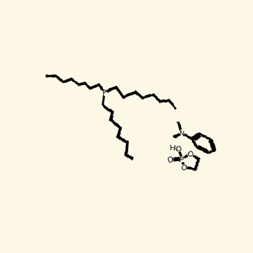 CCCCCCCCP(CCCCCCCC)CCCCCCCC.CN(C)c1ccccc1.O=P1(O)OCCO1